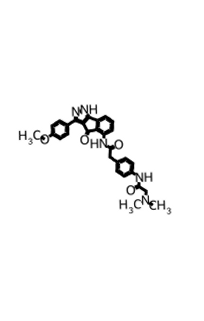 COc1ccc(-c2n[nH]c3c2C(=O)c2c(NC(=O)Cc4ccc(NC(=O)CN(C)C)cc4)cccc2-3)cc1